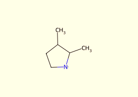 CC1CC[N]C1C